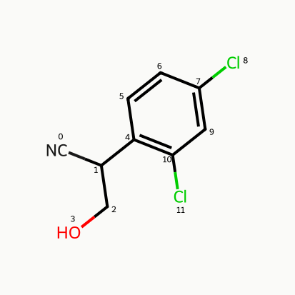 N#CC(CO)c1ccc(Cl)cc1Cl